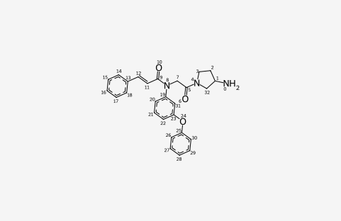 NC1CCN(C(=O)CN(C(=O)/C=C/c2ccccc2)c2cccc(Oc3ccccc3)c2)C1